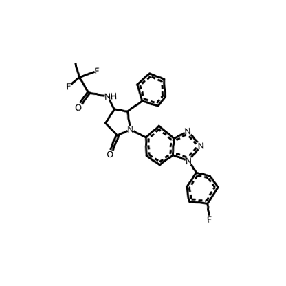 CC(F)(F)C(=O)NC1CC(=O)N(c2ccc3c(c2)nnn3-c2ccc(F)cc2)C1c1ccccc1